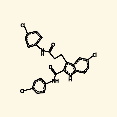 O=C(CCc1c(C(=O)Nc2ccc(Cl)cc2)[nH]c2ccc(Cl)cc12)Nc1ccc(Cl)cc1